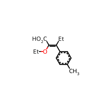 CCOC(C(=O)O)=C(CC)c1ccc(C)cc1